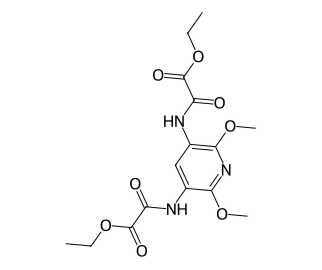 CCOC(=O)C(=O)Nc1cc(NC(=O)C(=O)OCC)c(OC)nc1OC